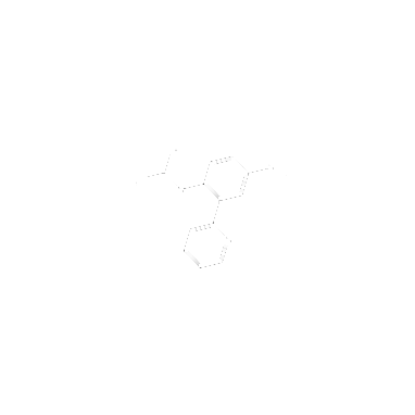 CC(O)Nc1ccc(N)cc1-c1ccccn1